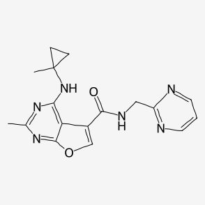 Cc1nc(NC2(C)CC2)c2c(C(=O)NCc3ncccn3)coc2n1